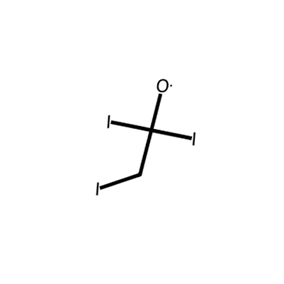 [O]C(I)(I)CI